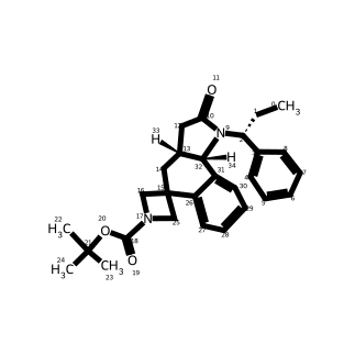 CC[C@H](c1ccccc1)N1C(=O)C[C@H]2CC3(CN(C(=O)OC(C)(C)C)C3)c3ccccc3[C@H]21